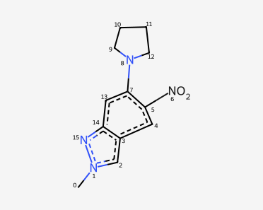 Cn1cc2cc([N+](=O)[O-])c(N3CCCC3)cc2n1